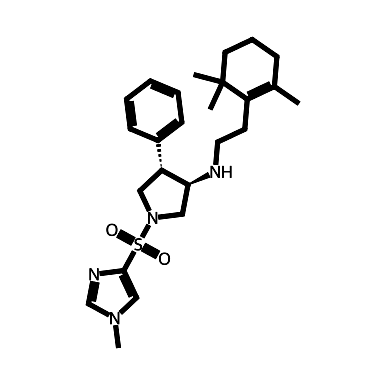 CC1=C(CCN[C@H]2CN(S(=O)(=O)c3cn(C)cn3)C[C@@H]2c2ccccc2)C(C)(C)CCC1